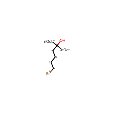 CCCCCCCCC(O)(CCCCBr)CCCCCCCC